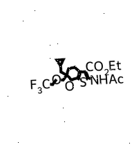 CCOC(=O)c1c(NC(C)=O)sc2c1CCC(COCC(F)(F)F)(CC1CC1)C2=O